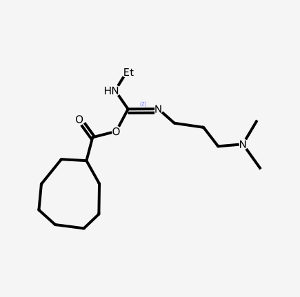 CCN/C(=N/CCCN(C)C)OC(=O)C1CCCCCCC1